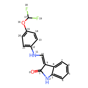 O=C1Nc2ccccc2C1=CNc1ccc(OC(F)F)cc1